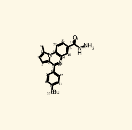 Cc1ccc2c(-c3ccc(C(C)(C)C)cc3)nc3cc(C(=O)NN)ccc3n12